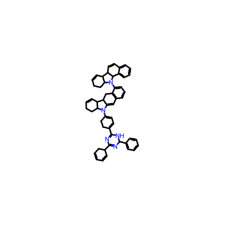 C1=CCC(C2=NC(c3ccccc3)NC(C3=CC=C(N4C5=Cc6cccc(N7C8CCC=CC8C8C=Cc9ccccc9C87)c6CC5C5C=CCCC54)CC3)=N2)C=C1